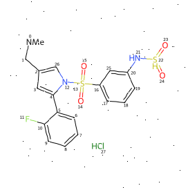 CNCc1cc(-c2ccccc2F)n(S(=O)(=O)c2cccc(N[SH](=O)=O)c2)c1.Cl